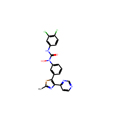 CC(C)(C)c1nc(-c2ccncn2)c(-c2cccc(N(O)C(=O)Nc3ccc(Cl)c(Cl)c3)c2)s1